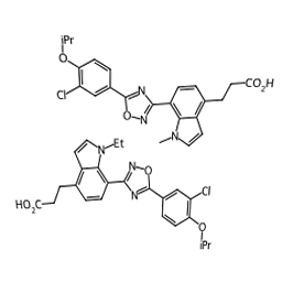 CC(C)Oc1ccc(-c2nc(-c3ccc(CCC(=O)O)c4ccn(C)c34)no2)cc1Cl.CCn1ccc2c(CCC(=O)O)ccc(-c3noc(-c4ccc(OC(C)C)c(Cl)c4)n3)c21